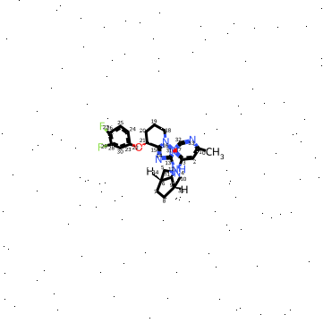 Cc1cc(N2C[C@H]3CC[C@@H](C2)C3Nc2nc3n(n2)CCC[C@@H]3Oc2ccc(F)c(F)c2)ncn1